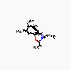 CCCC(C)N(Cc1ccc(OC)c(OC)c1)C(=O)CC(C)(C)C